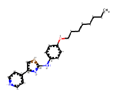 CCCCCCCCOc1ccc(Nc2nc(-c3ccncc3)cs2)cc1